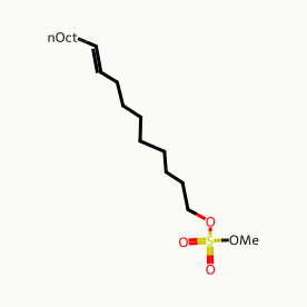 CCCCCCCCC=CCCCCCCCCOS(=O)(=O)OC